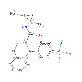 CC1C[C@@]1(C)NC(=O)N1CCc2ccccc2C1c1ccc(C(F)(F)F)cc1